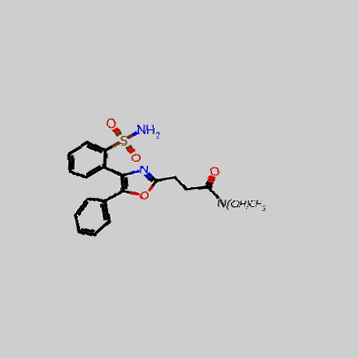 CN(O)C(=O)CCc1nc(-c2ccccc2S(N)(=O)=O)c(-c2ccccc2)o1